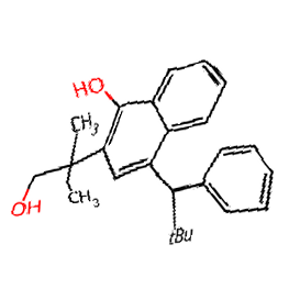 CC(C)(CO)c1cc(C(c2ccccc2)C(C)(C)C)c2ccccc2c1O